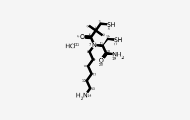 CC(C)(CS)C(=O)N(CCCCCCN)[C@@H](CS)C(N)=O.Cl